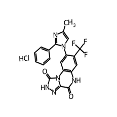 Cc1cn(-c2cc3c(cc2C(F)(F)F)[nH]c(=O)c2n[nH]c(=O)n23)c(-c2ccccc2)n1.Cl